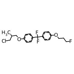 CC(CCl)COc1ccc(C(F)(F)c2ccc(OCCCF)cc2)cc1